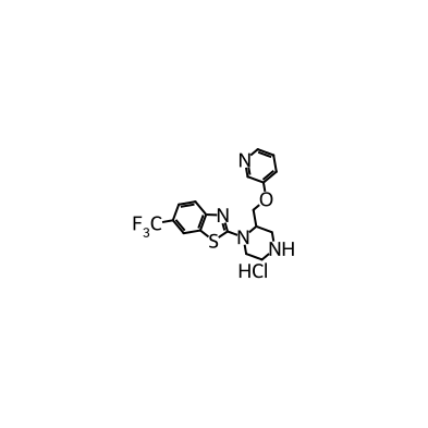 Cl.FC(F)(F)c1ccc2nc(N3CCNCC3COc3cccnc3)sc2c1